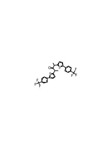 CC(C(=O)C(C)c1ccc(-c2ccc(C(F)(F)F)cc2)s1)c1ccc(-c2ccc(C(F)(F)F)cc2)s1